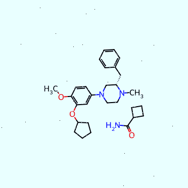 COc1ccc(N2CCN(C)[C@@H](Cc3ccccc3)C2)cc1OC1CCCC1.NC(=O)C1CCC1